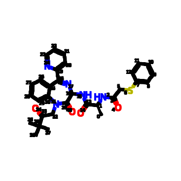 C[C@H](NC(=O)CSc1ccccc1)C(=O)NC1N=C(c2ccccn2)c2ccccc2N(CC(=O)C(C)(C)C)C1=O